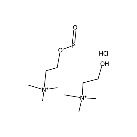 C[N+](C)(C)CCO.C[N+](C)(C)CCOP=O.Cl